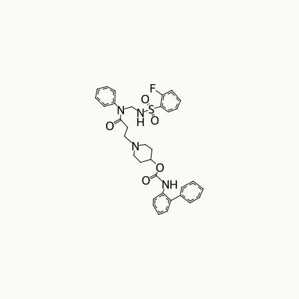 O=C(Nc1ccccc1-c1ccccc1)OC1CCN(CCC(=O)N(CNS(=O)(=O)c2ccccc2F)c2ccccc2)CC1